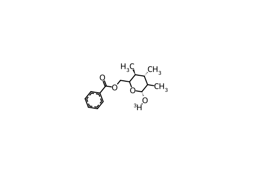 [3H]O[C@@H]1OC(COC(=O)c2ccccc2)[C@@H](C)[C@H](C)C1C